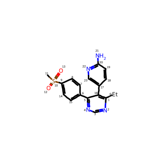 CCc1ncnc(-c2ccc(S(C)(=O)=O)cc2)c1-c1ccc(N)nc1